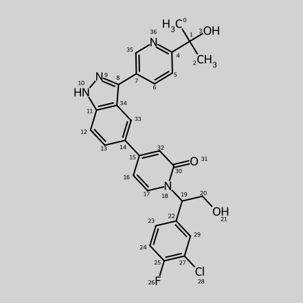 CC(C)(O)c1ccc(-c2n[nH]c3ccc(-c4ccn(C(CO)c5ccc(F)c(Cl)c5)c(=O)c4)cc23)cn1